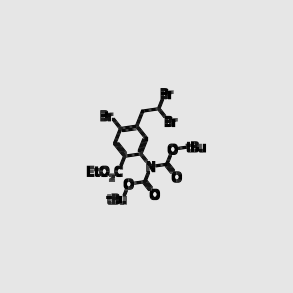 CCOC(=O)c1cc(Br)c(CC(Br)Br)cc1N(C(=O)OC(C)(C)C)C(=O)OC(C)(C)C